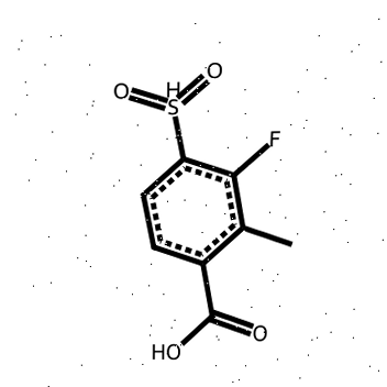 Cc1c(C(=O)O)ccc([SH](=O)=O)c1F